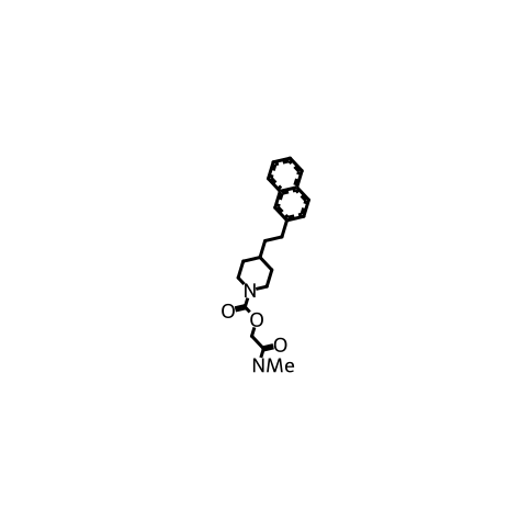 CNC(=O)COC(=O)N1CCC(CCc2ccc3ccccc3c2)CC1